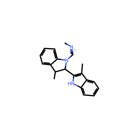 C/N=C\N1c2ccccc2C(C)C1c1[nH]c2ccccc2c1C